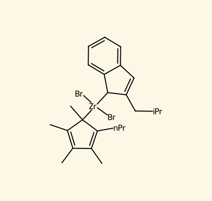 CCCC1=C(C)C(C)=C(C)[C]1(C)[Zr]([Br])([Br])[CH]1C(CC(C)C)=Cc2ccccc21